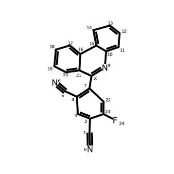 N#Cc1cc(C#N)c(-c2nc3ccccc3c3ccccc23)cc1F